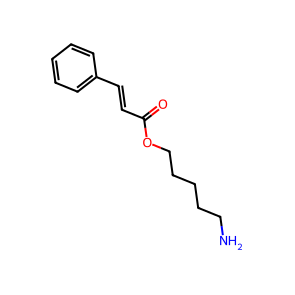 NCCCCCOC(=O)C=Cc1ccccc1